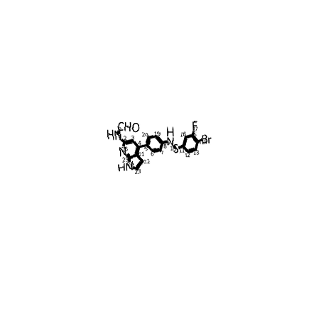 O=CNc1cc(-c2ccc(NSc3ccc(Br)c(F)c3)cc2)c2cc[nH]c2n1